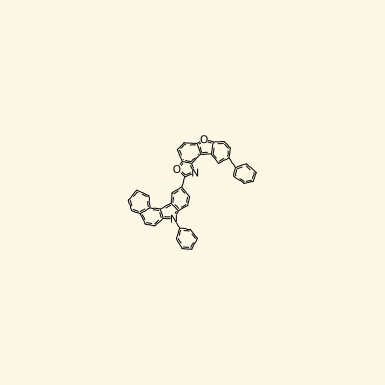 c1ccc(-c2ccc3oc4ccc5oc(-c6ccc7c(c6)c6c8ccccc8ccc6n7-c6ccccc6)nc5c4c3c2)cc1